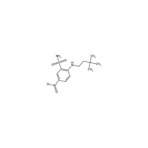 CC(C)(C)CCNc1ccc([N+](=O)[O-])cc1S(N)(=O)=O